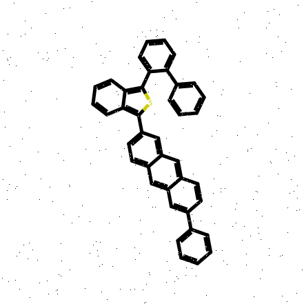 c1ccc(-c2ccc3cc4cc(-c5sc(-c6ccccc6-c6ccccc6)c6ccccc56)ccc4cc3c2)cc1